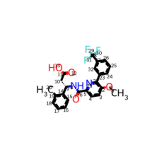 COc1ccc(C(=O)N[C@@H](CC(=O)O)c2ccccc2C)nc1-c1cccc(C(F)(F)F)c1